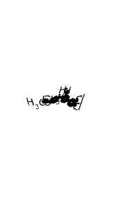 CC(C)Oc1ccc(Nc2ccc(-c3ccc(Cl)c(Cl)c3)cc2C#N)cc1